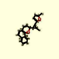 Cc1ccc(C2C(C)C2C2C=Cc3ccc4ccccc4c3O2)o1